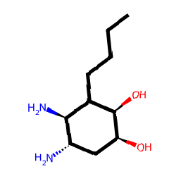 CCCCC1[C@@H](O)[C@@H](O)C[C@H](N)[C@H]1N